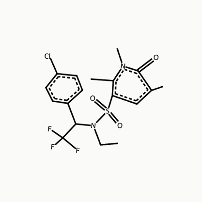 CCN(C(c1ccc(Cl)cc1)C(F)(F)F)S(=O)(=O)c1cc(C)c(=O)n(C)c1C